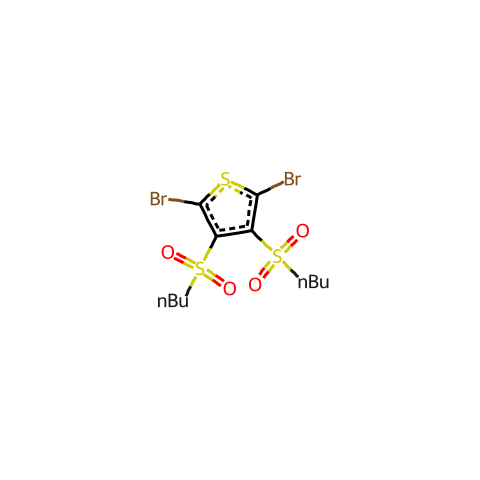 CCCCS(=O)(=O)c1c(Br)sc(Br)c1S(=O)(=O)CCCC